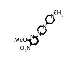 COc1nc(N2CCN(C3CCN(C)CC3)CC2)ccc1[N+](=O)[O-]